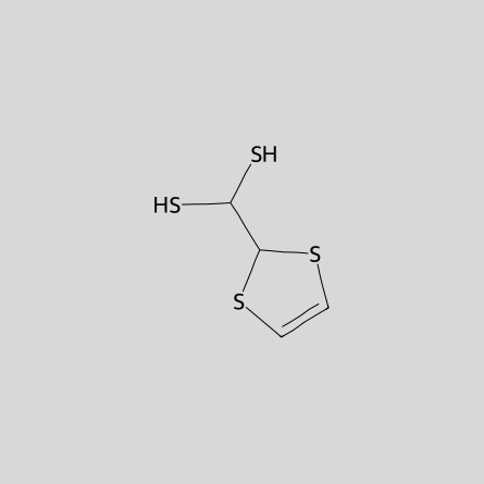 SC(S)C1SC=CS1